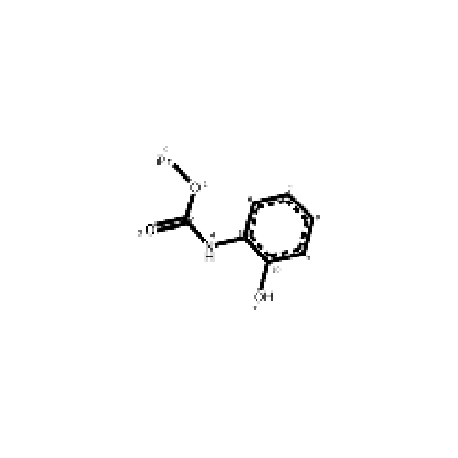 CC(C)OC(=O)Nc1ccc[c]c1O